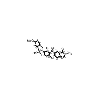 CCCS(=O)(=O)N(Cc1ccc(OC)cc1)c1ccc(Cl)c(N(C)c2ccc3ncn(C)c(=O)c3c2)c1F